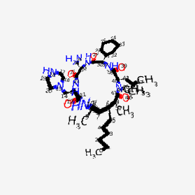 CCCCCC[C@H]1C[C@@H](C)NC(=O)[C@@H](CN2CCNCC2)NC(=O)[C@H](CN)NC(=O)[C@H](C2CCCCC2)NC(=O)[C@H](CC(C)C)N(C)C(=O)[C@@H]1C